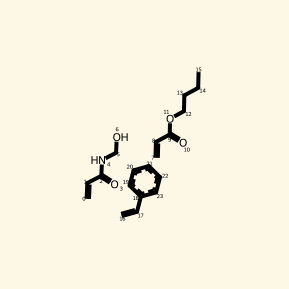 C=CC(=O)NCO.C=CC(=O)OCCCC.C=Cc1ccccc1